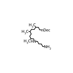 CCCCCCCCCCCCC(C)CCC(C)CCC(C)CNCCCCN